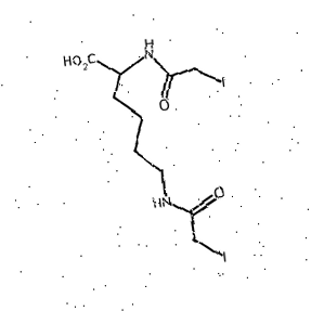 O=C(CI)NCCCCC(NC(=O)CI)C(=O)O